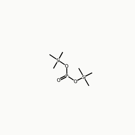 C[Si](C)(C)O[P](=O)O[Si](C)(C)C